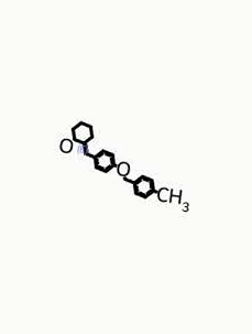 Cc1ccc(COc2ccc(/C=C3\CCCCC3=O)cc2)cc1